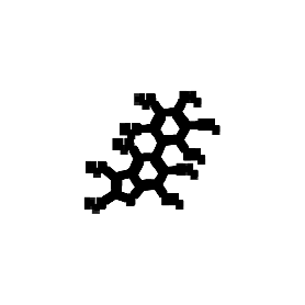 Bc1sc2c(B)c(B)c(-c3c(B)c(B)c(B)c(B)c3B)c(B)c2c1B